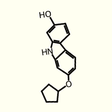 Oc1ccc2c(c1)[nH]c1cc(OC3CCCC3)ccc12